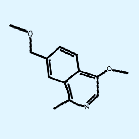 COCc1ccc2c(OC)cnc(C)c2c1